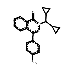 Nc1ccc(-c2nn(C(C3CC3)C3CC3)c(=O)c3ccccc23)cc1